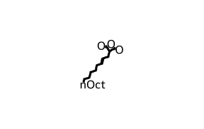 CCCCCCCCCCCCCC=CCC1C(=O)OC1=O